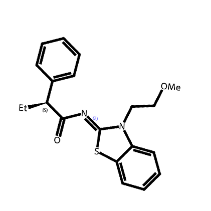 CC[C@H](C(=O)/N=c1\sc2ccccc2n1CCOC)c1ccccc1